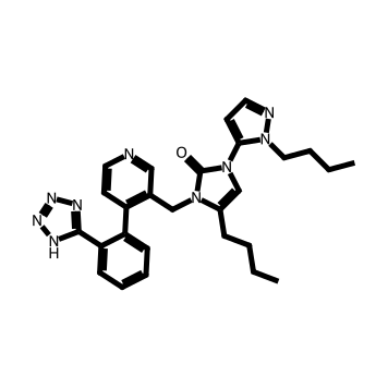 CCCCc1cn(-c2ccnn2CCCC)c(=O)n1Cc1cnccc1-c1ccccc1-c1nnn[nH]1